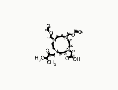 CC(C)C(=O)CN1CCN(COC=O)CCN(COC=O)CCN(CC(=O)O)CC1